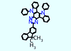 CC1(C)c2ccccc2-c2cc(-c3nnc4c(n3)c3c5ccccc5n(-c5ccccc5)c3c3c5ccccc5n(-c5ccccc5)c43)ccc21